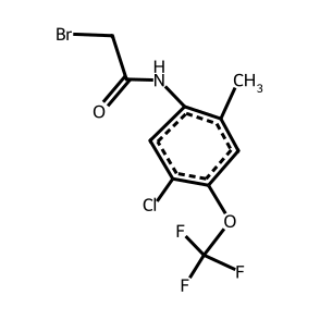 Cc1cc(OC(F)(F)F)c(Cl)cc1NC(=O)CBr